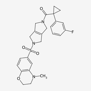 CN1CCOc2ccc(S(=O)(=O)N3CC4=C(CN(C(=O)C5(c6cccc(F)c6)CC5)C4)C3)cc21